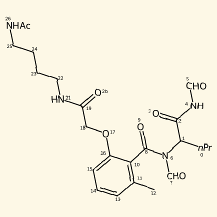 CCCC(C(=O)NC=O)N(C=O)C(=O)c1c(C)cccc1OCC(=O)NCCCCNC(C)=O